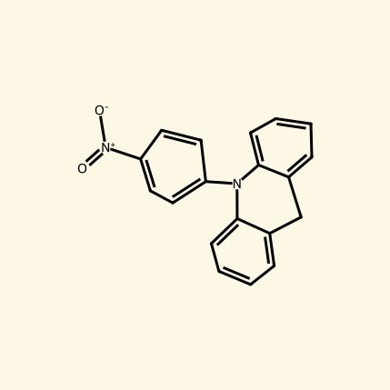 O=[N+]([O-])c1ccc(N2c3ccccc3Cc3ccccc32)cc1